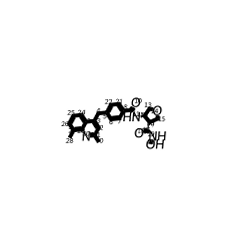 Cc1cc(Cc2ccc(C(=O)N[C@@H]3COC[C@@H]3C(=O)NO)cc2)c2cccc(C)c2n1